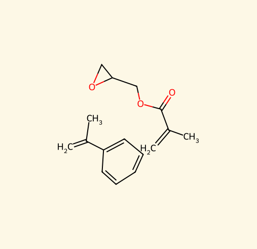 C=C(C)C(=O)OCC1CO1.C=C(C)c1ccccc1